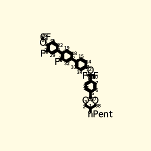 CCCCCC1COC(c2ccc(C(F)(F)Oc3ccc(-c4ccc(-c5ccc(OC(F)(F)F)c(F)c5)c(F)c4)cc3)cc2)OC1